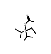 CC[Si](OC(C)=O)(C(C)C)C(C)C